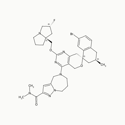 C[C@@H]1Cc2ccc(Br)cc2[C@@]2(Cc3nc(OC[C@@]45CCCN4C[C@H](F)C5)nc(N4CCCn5nc(C(=O)N(C)C)cc5C4)c3CO2)C1